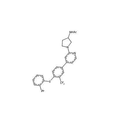 CC(=O)NC1CCN(c2cc(-c3ccc(Sc4ccccc4C(C)C)c(C(F)(F)F)c3)ccn2)C1